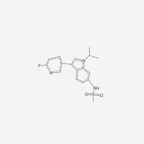 CC(C)n1cc(-c2ccc(F)nc2)c2ccc(NS(C)(=O)=O)cc21